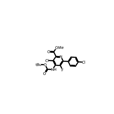 COC(=O)c1nc(-c2ccc(Cl)cc2)c(F)c(NC(=O)OC(C)(C)C)c1Cl